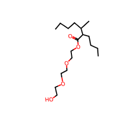 CCCCC(C)C(CCCC)C(=O)OCCOCCOCCO